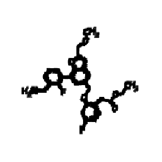 CCOC(=O)Cc1ccc(F)cc1OCc1cc(-c2cccc(CN)c2F)c2oc(COC)cc2c1